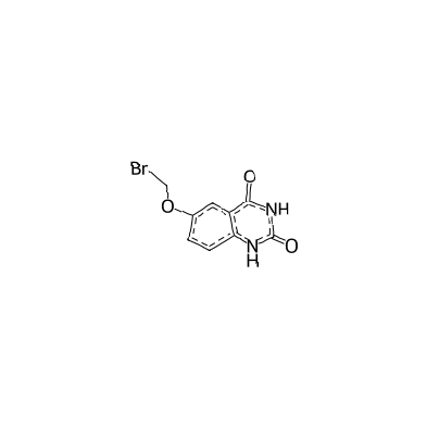 O=c1[nH]c(=O)c2cc(OCBr)ccc2[nH]1